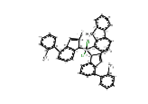 CC1=Cc2c(-c3ccccc3C(F)(F)F)cccc2[CH]1[Zr]([Cl])([Cl])([c]1cccc2c1[SiH2]c1ccccc1-2)[CH]1C(C)=Cc2c(-c3ccccc3C(F)(F)F)cccc21